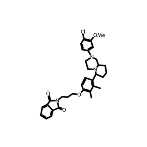 COc1cc(N2CCN3C(CCCC3c3ccc(OCCCN4C(=O)c5ccccc5C4=O)c(C)c3C)C2)ccc1Cl